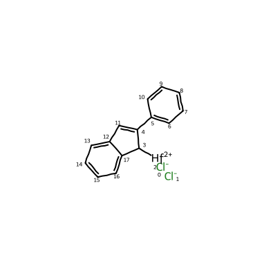 [Cl-].[Cl-].[Hf+2][CH]1C(c2ccccc2)=Cc2ccccc21